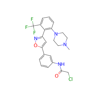 CN1CCN(c2cccc(C(F)(F)F)c2-c2cc(-c3cccc(NC(=O)CCl)c3)on2)CC1